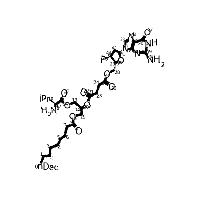 CCCCCCCCCCCCCCCCCC(=O)OCC(COC(=O)[C@@H](N)C(C)C)OC(=O)CCC(=O)OC[C@H]1O[C@@H](n2cnc3c(=O)[nH]c(N)nc32)C[C@@H]1F